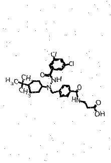 CC(C)(C)C1CCC(N(Cc2ccc(C(=O)NCCC(=O)O)cc2)NC(=O)c2cc(Cl)cc(Cl)c2)CC1